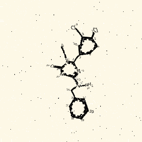 Cn1c(-c2ccc(Cl)c(Cl)c2)nc(N(N)Cc2ccccc2)nc1=O